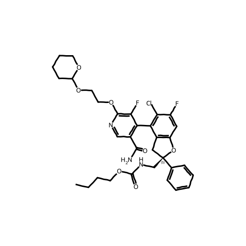 CCCCOC(=O)NC[C@@]1(c2ccccc2)Cc2c(cc(F)c(Cl)c2-c2c(C(N)=O)cnc(OCCOC3CCCCO3)c2F)O1